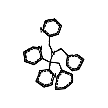 c1ccc(CN(Cc2ccccn2)C(Cc2ccccc2)(c2ccccn2)c2ccccn2)cc1